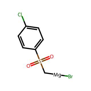 O=S(=O)([CH2][Mg][Br])c1ccc(Cl)cc1